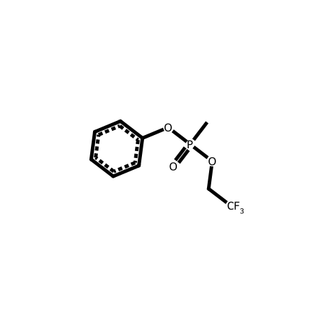 CP(=O)(OCC(F)(F)F)Oc1ccccc1